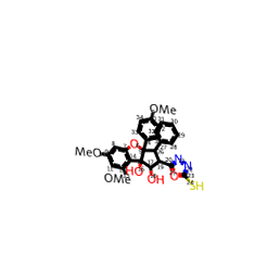 COc1ccc(C23Oc4cc(OC)cc(OC)c4C2(O)C(O)C(c2nnc(S)o2)C3c2ccccc2)cc1